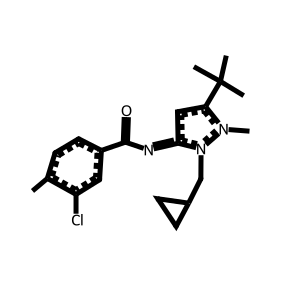 Cc1ccc(C(=O)/N=c2\cc(C(C)(C)C)n(C)n2CC2CC2)cc1Cl